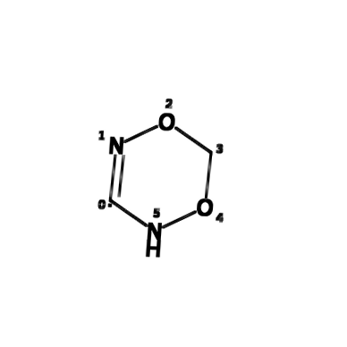 [C]1=NOCON1